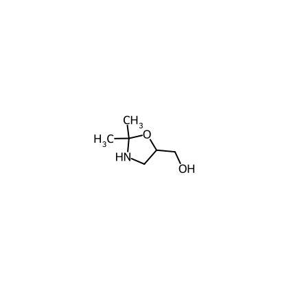 CC1(C)NCC(CO)O1